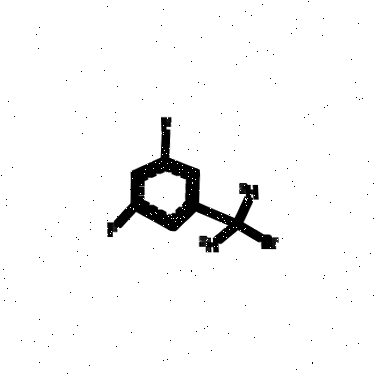 [2H]C([2H])(Br)c1cc(F)cc(F)c1